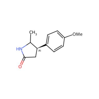 COc1ccc([C@H]2CC(=O)NC2C)cc1